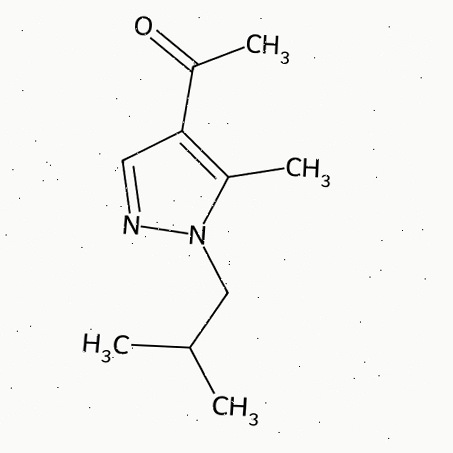 CC(=O)c1cnn(CC(C)C)c1C